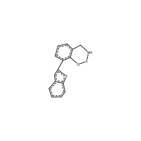 c1cc2c(c(-c3cc4ccccc4s3)c1)OSNC2